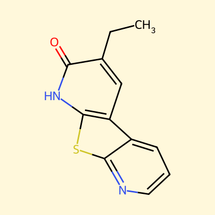 CCc1cc2c([nH]c1=O)sc1ncccc12